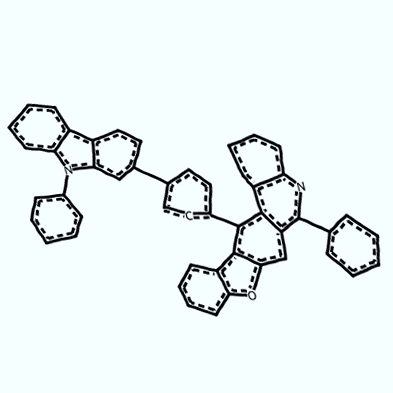 c1ccc(-c2nc3ccccc3c3c(-c4ccc(-c5ccc6c7ccccc7n(-c7ccccc7)c6c5)cc4)c4c(cc23)oc2ccccc24)cc1